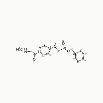 CNCC(=O)c1ccc(OCC(=O)OCc2ccccc2)cc1